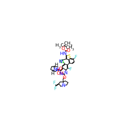 CC(C)(C)OC(=O)Nc1sc2c(F)ccc(-c3c(Cl)cc4c(N5C[C@H]6CC[C@@H](C5)N6C(=O)O)nc(OCC56CCCN5CC(=C(F)F)C6)nc4c3F)c2c1C#N